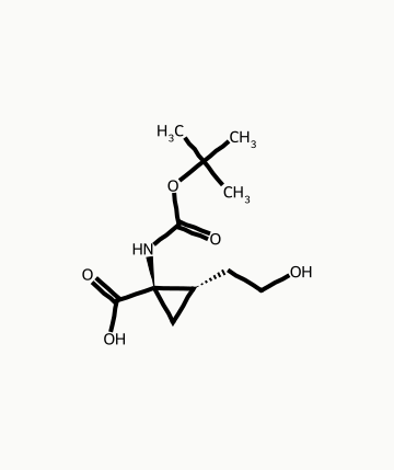 CC(C)(C)OC(=O)N[C@]1(C(=O)O)C[C@H]1CCO